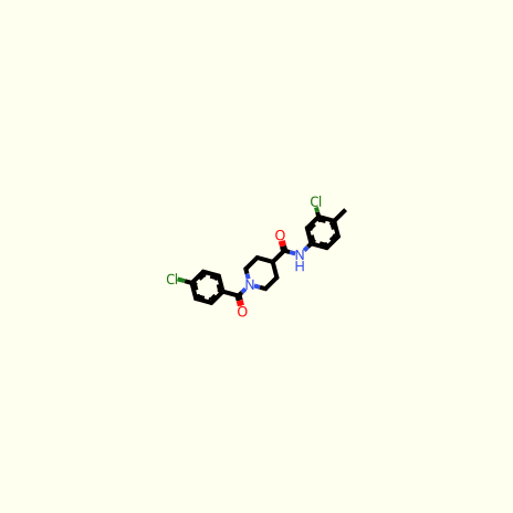 Cc1ccc(NC(=O)C2CCN(C(=O)c3ccc(Cl)cc3)CC2)cc1Cl